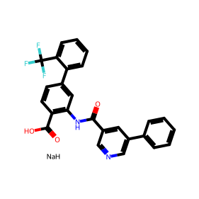 O=C(Nc1cc(-c2ccccc2C(F)(F)F)ccc1C(=O)O)c1cncc(-c2ccccc2)c1.[NaH]